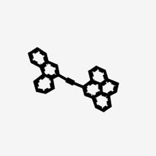 C(#Cc1cc2cccc3ccc4cccc1c4c32)c1cc2ccccc2c2ccccc12